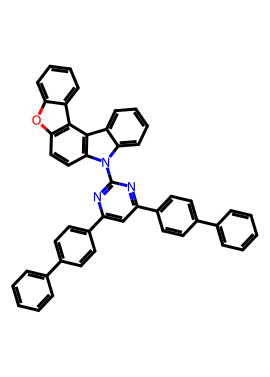 c1ccc(-c2ccc(-c3cc(-c4ccc(-c5ccccc5)cc4)nc(-n4c5ccccc5c5c6c(ccc54)oc4ccccc46)n3)cc2)cc1